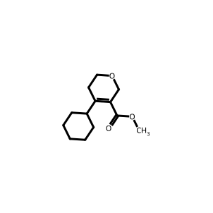 COC(=O)C1=C(C2CCCCC2)CCOC1